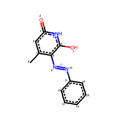 Cc1cc(=O)[nH]c(O)c1/N=N/c1ccccc1